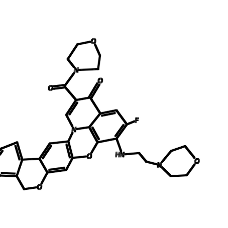 O=C(c1cn2c3c(c(NCCN4CCOCC4)c(F)cc3c1=O)Oc1cc3c(cc1-2)-c1ccccc1CO3)N1CCOCC1